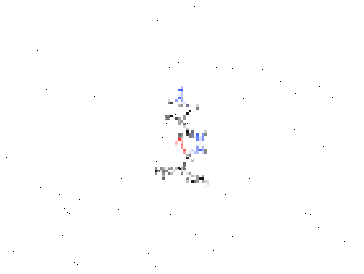 CC(C)c1nnc(C2CCNC2)o1